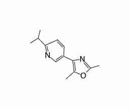 Cc1nc(-c2ccc(C(C)C)nc2)c(C)o1